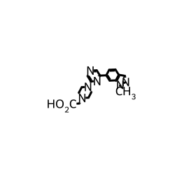 Cn1ncc2ccc(-c3cncc(N4CCN(CC(=O)O)CC4)n3)cc21